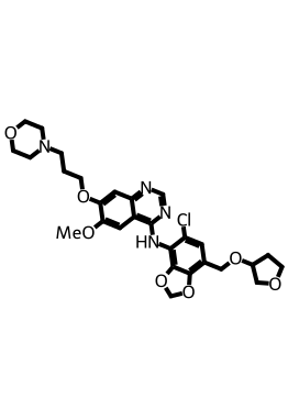 COc1cc2c(Nc3c(Cl)cc(COC4CCOC4)c4c3OCO4)ncnc2cc1OCCCN1CCOCC1